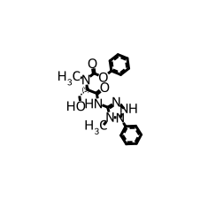 CN(C(=O)Oc1ccccc1)[C@@H](CO)C(=O)NC1=NNN(c2ccccc2)N1C